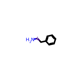 N[I]Cc1ccccc1